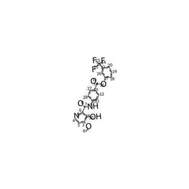 COc1ccnc(C(=O)Nc2ccc(C(=O)Oc3cccc(C(F)(F)F)c3)cc2)c1O